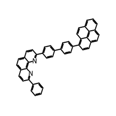 c1ccc(-c2ccc3ccc4ccc(-c5ccc(-c6ccc(-c7ccc8ccc9cccc%10ccc7c8c9%10)cc6)cc5)nc4c3n2)cc1